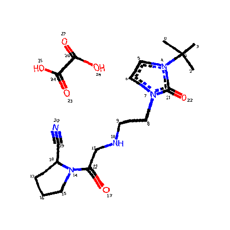 CC(C)(C)n1ccn(CCNCC(=O)N2CCCC2C#N)c1=O.O=C(O)C(=O)O